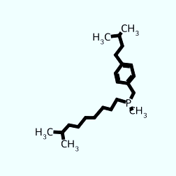 CC(C)CCCCCCCP(C)Cc1ccc(CCC(C)C)cc1